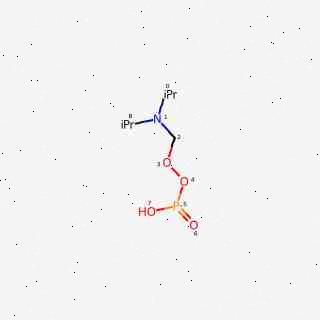 CC(C)N(COO[P](=O)O)C(C)C